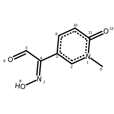 Cn1cc(C(C=O)=NO)ccc1=O